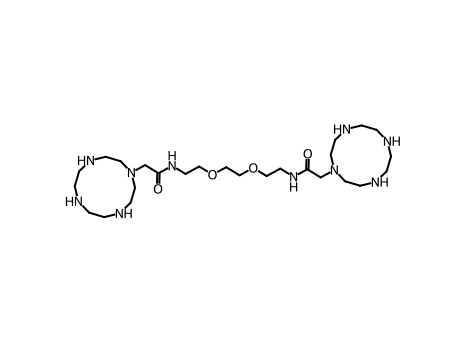 O=C(CN1CCNCCNCCNCC1)NCCOCCOCCNC(=O)CN1CCNCCNCCNCC1